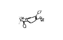 C[C@H](O)C(=O)c1ccc(Cl)c(Br)c1